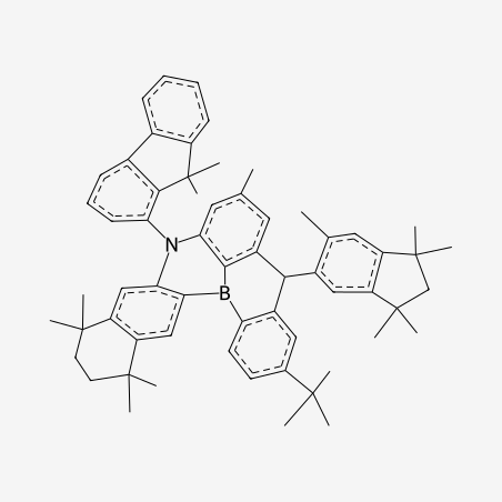 Cc1cc2c3c(c1)N(c1cccc4c1C(C)(C)c1ccccc1-4)c1cc4c(cc1B3c1ccc(C(C)(C)C)cc1C2c1cc2c(cc1C)C(C)(C)CC2(C)C)C(C)(C)CCC4(C)C